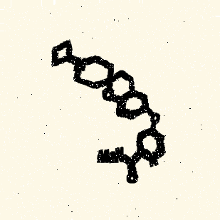 CNC(=O)c1cc(Oc2ccc3c(c2)CCC2(CCN(C4CCC4)CC2)O3)ccn1